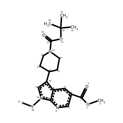 COC(=O)c1cnc2c(c1)c(C1CCN(C(=O)OC(C)(C)C)CC1)cn2SI